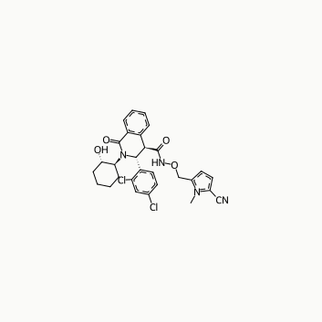 Cn1c(C#N)ccc1CONC(=O)[C@@H]1c2ccccc2C(=O)N([C@H]2CCCC[C@@H]2O)[C@H]1c1ccc(Cl)cc1Cl